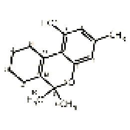 Cc1cc(O)c2c(c1)OC(C)(C)C1=C2CCCC1